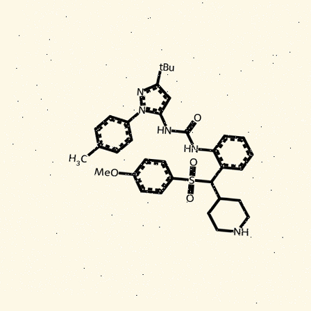 COc1ccc(S(=O)(=O)C(c2ccccc2NC(=O)Nc2cc(C(C)(C)C)nn2-c2ccc(C)cc2)C2CCNCC2)cc1